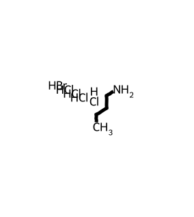 Br.CCCCN.Cl.Cl.Cl.Cl